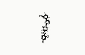 O=S(=O)(c1ccc(Cl)cc1Cl)C1CCN(c2nc(-c3ccc(F)c(Cl)c3)cs2)CC1